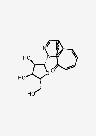 O=C1C=CC=CC23CN([C@@H]4O[C@H](CO)[C@@H](O)[C@H]4O)N=CC2=NNC13